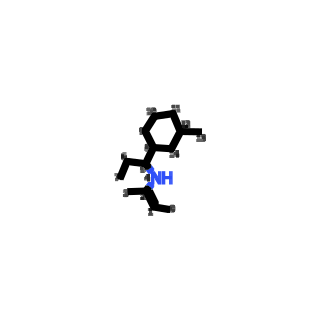 C/C=C(/C)NC(CC)C1CCCC(C)C1